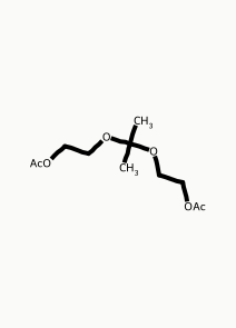 CC(=O)OCCOC(C)(C)OCCOC(C)=O